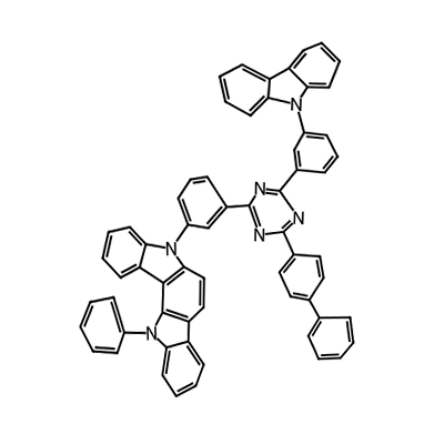 c1ccc(-c2ccc(-c3nc(-c4cccc(-n5c6ccccc6c6ccccc65)c4)nc(-c4cccc(-n5c6ccccc6c6c5ccc5c7ccccc7n(-c7ccccc7)c56)c4)n3)cc2)cc1